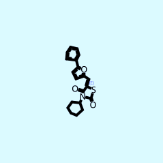 O=C1S/C(=C/c2ccc(-c3ccccc3)o2)C(=O)N1C1CCCCC1